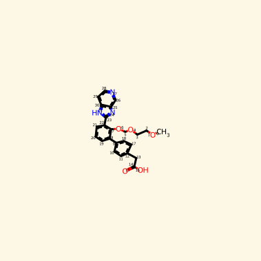 COCCOCOc1c(-c2ccc(CC(=O)O)cc2)cccc1-c1nc2cnccc2[nH]1